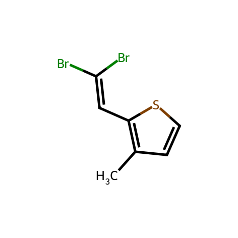 Cc1ccsc1C=C(Br)Br